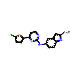 O=C(O)c1cc2cc(Nc3nccc(-c4ccc(Cl)s4)n3)ccc2[nH]1